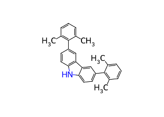 Cc1cccc(C)c1-c1ccc2[nH]c3ccc(-c4c(C)cccc4C)cc3c2c1